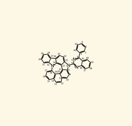 c1ccc(-c2nc(-n3c4ccc5ccc6cccc7c6c5c4c4c3ccc3c5ccccc5n7c34)nc3ccccc23)cc1